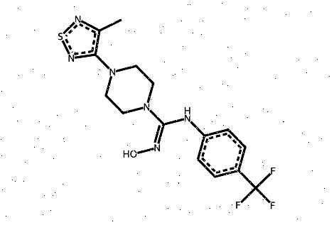 Cc1nsnc1N1CCN(/C(=N\O)Nc2ccc(C(F)(F)F)cc2)CC1